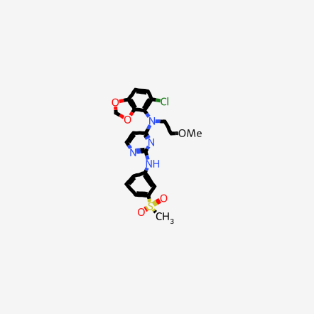 COCCN(c1ccnc(Nc2cccc(S(C)(=O)=O)c2)n1)c1c(Cl)ccc2c1OCO2